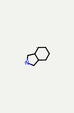 [CH]1CCCC2C[N]CC12